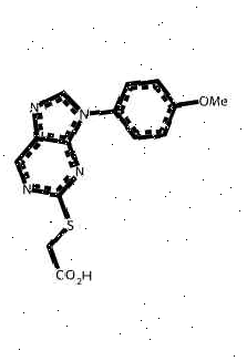 COc1ccc(-n2cnc3cnc(SCC(=O)O)nc32)cc1